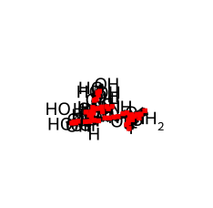 Cc1c(-c2cccc(CCC(=O)NCCCCCCCC(=O)N[C@H](CCC(=O)NC[C@H](O)[C@@H](O)[C@H](O)[C@H](O)CO)C(=O)N[C@H](CCC(=O)O)C(=O)N[C@H](CCC(=O)NC[C@H](O)[C@@H](O)[C@H](O)[C@H](O)CO)C(=O)N[C@@H](C)CSC3CC(=O)N(CCN)C3=O)c2)c(=O)n(C[C@@H](N)c2ccccc2)c(=O)n1Cc1c(F)cccc1F